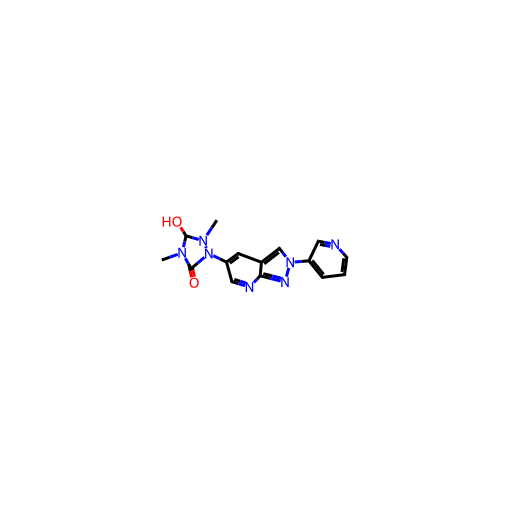 CN1C(=O)N(c2cnc3nn(-c4cccnc4)cc3c2)N(C)C1O